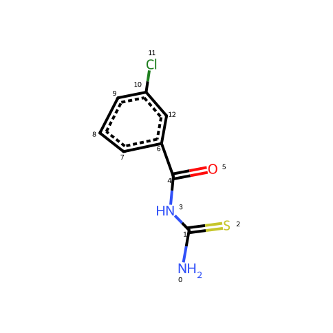 NC(=S)NC(=O)c1cccc(Cl)c1